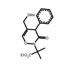 CCOC(=O)C(C)(C)N1OC=C(CSC)C(c2ccccc2)C1=O